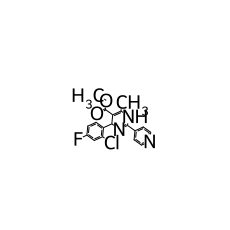 COC(=O)C1=C(C)NC(c2ccncc2)=NC1c1ccc(F)cc1Cl